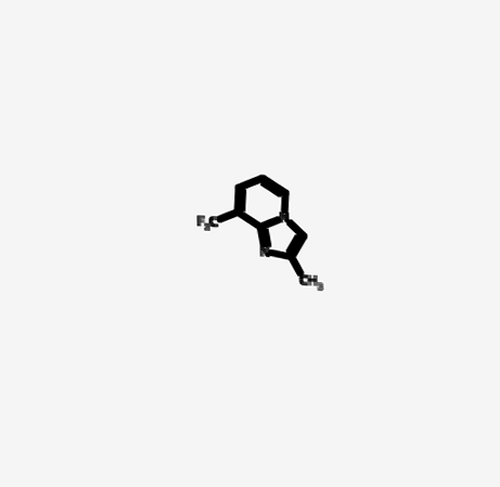 Cc1cn2cccc(C(F)(F)F)c2n1